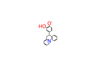 COc1ccc(C(Cc2ccccn2)c2ccccc2)cc1O